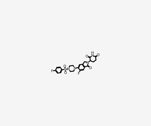 O=C1CCC(N2Cc3cc(N4CCN(S(=O)(=O)c5ccc(F)cc5)CC4)c(F)cc3C2=O)C(=O)N1